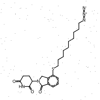 [N-]=[N+]=NCCCCCCCCCCSc1cccc2c1CN(C1CCC(=O)NC1=O)C2=O